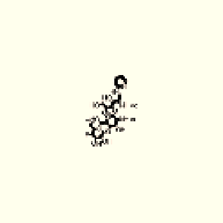 CC(=O)NC(CNc1ccccn1)[C@H](O)C(O[C@@H]1OC(CO)[C@@H](O[C@@H]2OC(CO)[C@H](F)[C@H](O)C2O)[C@H](O)C1NC(C)=O)C(O)CO